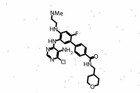 CNCCNc1cc(F)c(-c2ccc(C(=O)NCC3CCOCC3)cc2)cc1Nc1ncnc(Cl)c1N